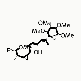 CC[C@H](OC)[C@@H](C)[C@H]1C[C@@H]1[C@@H](O)[C@@H](C)/C=C/C=C(\C)[C@H]1O[C@H](OC)[C@H](OC)[C@@H](OC)[C@@H]1OC